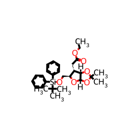 CCOC(=O)C[C@@H]1[C@@H]2OC(C)(C)O[C@@H]2O[C@H]1CO[Si](c1ccccc1)(c1ccccc1)C(C)(C)C